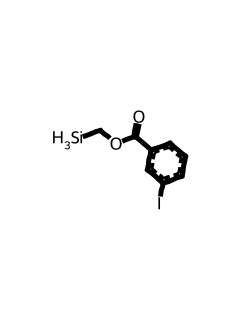 O=C(OC[SiH3])c1cccc(I)c1